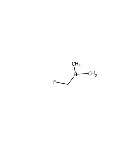 CB(C)CF